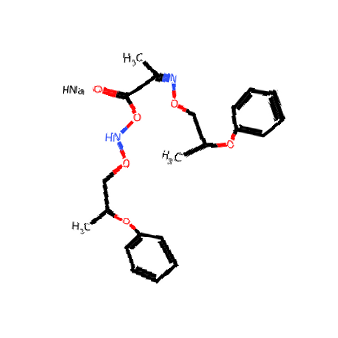 CC(=NOCC(C)Oc1ccccc1)C(=O)ONOCC(C)Oc1ccccc1.[NaH]